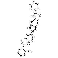 CC1CCCCC1C(=O)Nc1ccc(-c2cc3ccc(NC(=O)C4CCCCC4)cc3[nH]2)cc1